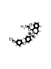 CCOc1ccc(Oc2ccc(S(=O)(=O)N3CCc4ccccc4C3OC(N)=O)cc2)cc1